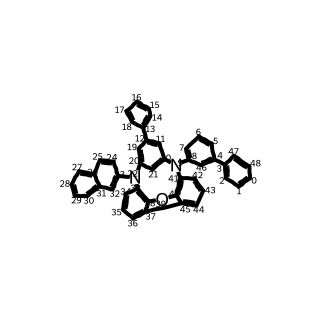 c1ccc(-c2cccc(N3c4cc(-c5ccccc5)cc(c4)N(c4ccc5ccccc5c4)c4cccc5c4oc4c3cccc45)c2)cc1